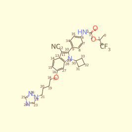 CC(OC(=O)Nc1ccc(-c2c(C#N)c3ccc(OCCCCn4cncn4)cc3n2C2CCC2)cc1)C(F)(F)F